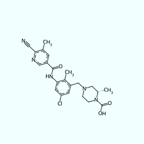 Cc1cc(C(=O)Nc2cc(Cl)cc(CN3CCN(C(=O)O)[C@@H](C)C3)c2C)cnc1C#N